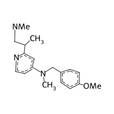 CNCC(C)c1cc(N(C)Cc2ccc(OC)cc2)ccn1